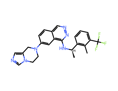 Cc1c([C@@H](C)Nc2nncc3ccc(N4CCn5cncc5C4)cc23)cccc1C(F)(F)F